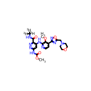 [2H]C([2H])([2H])NC(=O)c1nnc(NC(=O)OC)cc1Nc1nccc(-c2noc(CN3CCOCC3)n2)c1OC